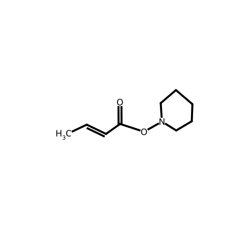 C/C=C/C(=O)ON1CCCCC1